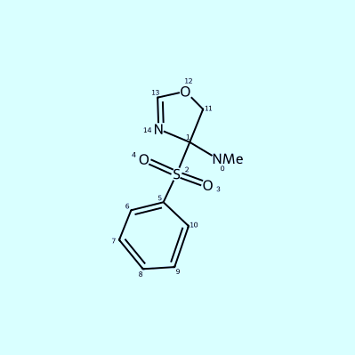 CNC1(S(=O)(=O)c2ccccc2)COC=N1